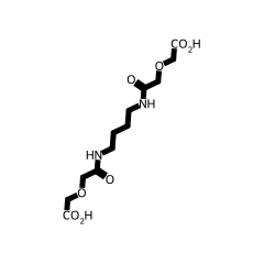 O=C(O)COCC(=O)NCCCCNC(=O)COCC(=O)O